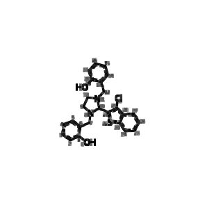 Oc1ccccc1CN1CCN(Cc2ccccc2O)C1c1sc2ccccc2c1Cl